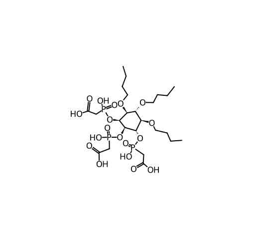 CCCCO[C@@H]1[C@@H](OCCCC)[C@H](OP(=O)(O)CC(=O)O)[C@@H](OP(=O)(O)CC(=O)O)[C@@H](OP(=O)(O)CC(=O)O)[C@H]1OCCCC